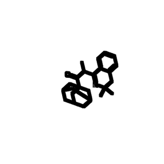 CC(C(=O)C12CC3CC(CC(C3)C1)C2)C1=NC(C)(C)Cc2ccccc21